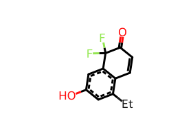 CCc1cc(O)cc2c1C=CC(=O)C2(F)F